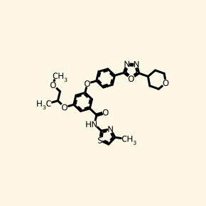 COCC(C)Oc1cc(Oc2ccc(-c3nnc(C4CCOCC4)o3)cc2)cc(C(=O)Nc2nc(C)cs2)c1